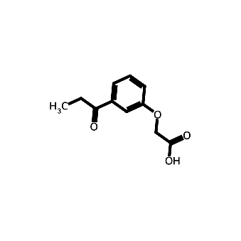 CCC(=O)c1cccc(OCC(=O)O)c1